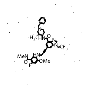 CNC(=O)c1cc(NCC#Cc2cc(C(=O)N[C@H]3CCN(Cc4ccccc4)C[C@@H]3C)c3ncn(CC(F)(F)F)c3c2)c(OC)cc1F